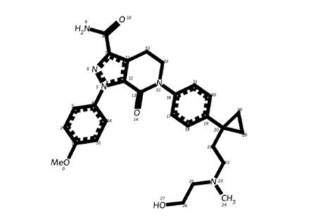 COc1ccc(-n2nc(C(N)=O)c3c2C(=O)N(c2ccc(C4(CCN(C)CCO)CC4)cc2)CC3)cc1